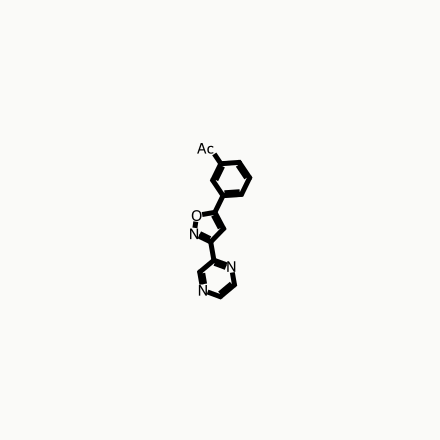 CC(=O)c1cccc(-c2cc(-c3cnccn3)no2)c1